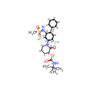 CC(C)(C)NC(=O)O[C@@H]1CCCN(c2c(F)cc(-c3ccccc3)c(NS(C)(=O)=O)c2F)C1=O